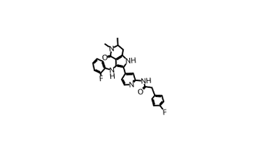 CC1Cc2[nH]c(-c3ccnc(NC(=O)Cc4ccc(F)cc4)c3)c(Nc3ccccc3F)c2C(=O)N1C